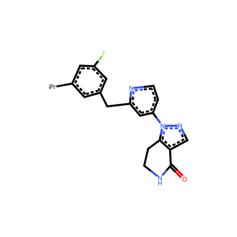 CC(C)c1cc(F)cc(Cc2cc(-n3ncc4c3CCNC4=O)ccn2)c1